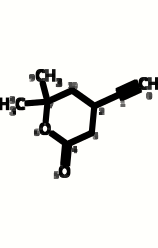 C#CC1CC(=O)OC(C)(C)C1